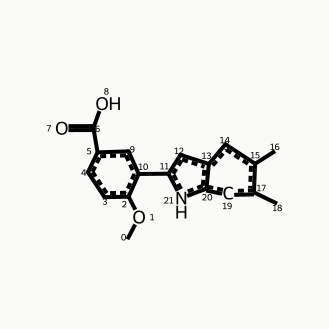 COc1ccc(C(=O)O)cc1-c1cc2cc(C)c(C)cc2[nH]1